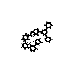 c1ccc(-c2nc(-c3ccccc3)nc(-c3ccc4nc(-c5cccc(-c6cccc7c6oc6c(-c8ccccc8)cccc67)c5)sc4c3)n2)cc1